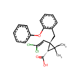 CC1(C)[C@H](C(=O)O)[C@@]1(C=C(Cl)Cl)Cc1ccccc1Oc1ccccc1